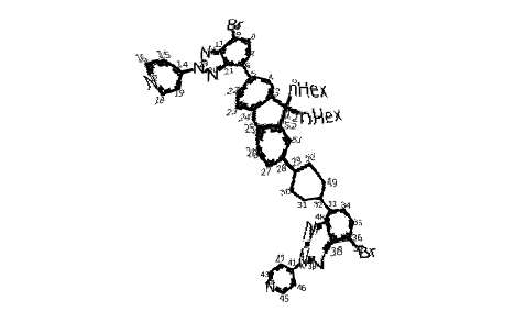 CCCCCCC1(CCCCCC)c2cc(-c3ccc(Br)c4nn(-c5ccncc5)nc34)ccc2-c2ccc(C3CCC(c4ccc(Br)c5nn(-c6ccncc6)nc45)CC3)cc21